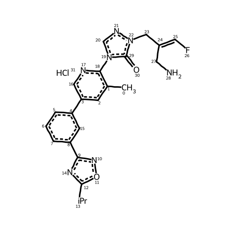 Cc1cc(-c2cccc(-c3noc(C(C)C)n3)c2)cnc1-n1cnn(C/C(=C/F)CN)c1=O.Cl